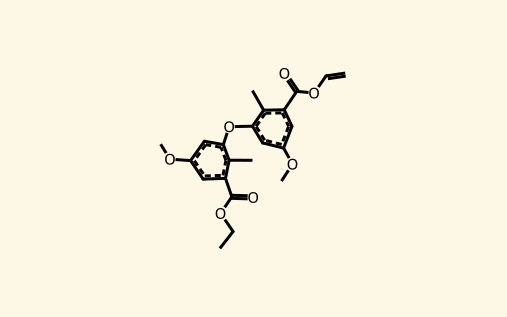 C=COC(=O)c1cc(OC)cc(Oc2cc(OC)cc(C(=O)OCC)c2C)c1C